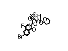 C[C@@](CCn1cc(F)c2cc(Br)ccc2c1=O)(C(=O)NOC1CCCCO1)S(C)(=O)=O